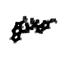 CC1Cc2cc3c(c(NC(=O)N=[S@](N)(=O)c4cnn5c4O[C@@H](C)C5)c21)CCC3